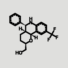 OC[C@H]1CC[C@@H]2[C@H](O1)c1cc(C(F)(F)F)ccc1N[C@H]2c1ccccc1